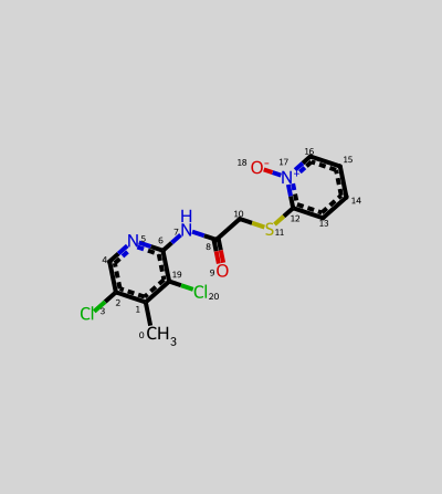 Cc1c(Cl)cnc(NC(=O)CSc2cccc[n+]2[O-])c1Cl